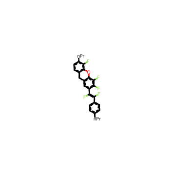 CCCc1ccc(/C(F)=C(\F)c2cc3c(c(F)c2F)Oc2c(ccc(CCC)c2F)C3)cc1